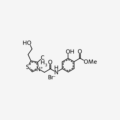 COC(=O)c1ccc(NC(=O)C[n+]2csc(CCO)c2C)cc1O.[Br-]